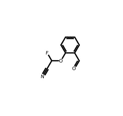 N#CC(F)Oc1ccccc1C=O